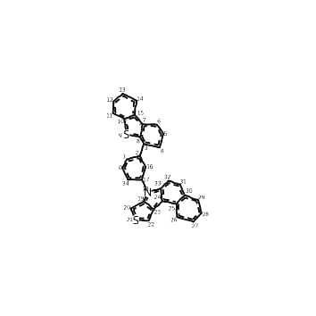 c1cc(-c2cccc3c2sc2ccccc23)cc(-n2c3cscc3c3c4ccccc4ccc32)c1